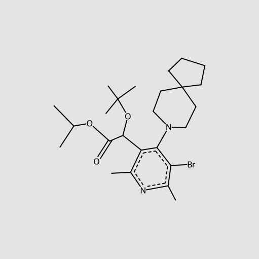 Cc1nc(C)c(C(OC(C)(C)C)C(=O)OC(C)C)c(N2CCC3(CCCC3)CC2)c1Br